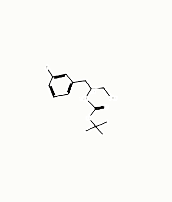 CC(C)(C)OC(=O)N[C@H](CO)Cc1cccc(F)c1